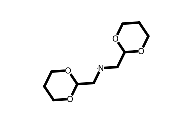 C1COC(C[N]CC2OCCCO2)OC1